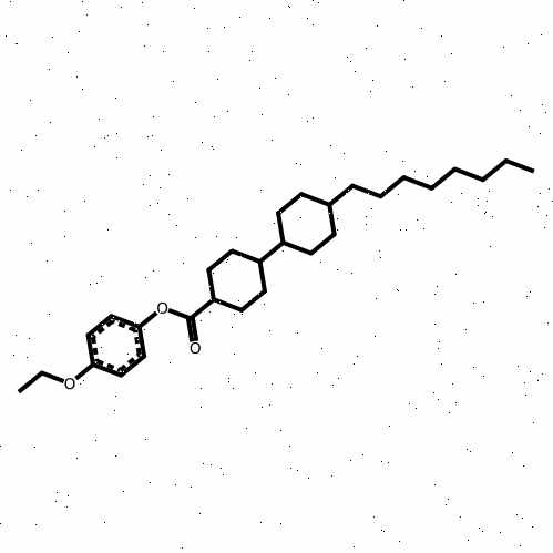 CCCCCCCCC1CCC(C2CCC(C(=O)Oc3ccc(OCC)cc3)CC2)CC1